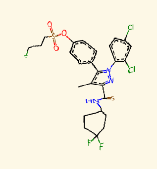 Cc1c(C(=S)NC2CCC(F)(F)CC2)nn(-c2ccc(Cl)cc2Cl)c1-c1ccc(OS(=O)(=O)CCCF)cc1